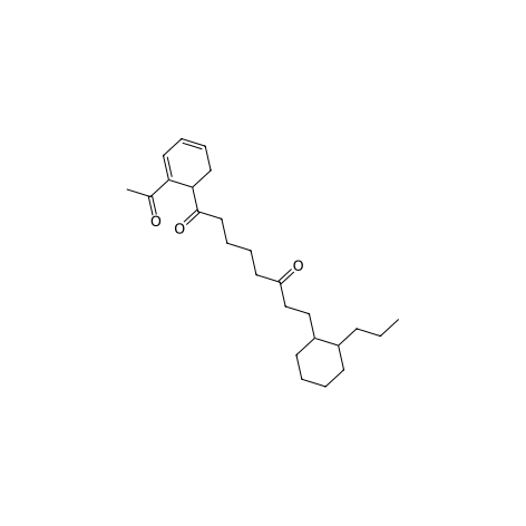 CCCC1CCCCC1CCC(=O)CCCCC(=O)C1CC=CC=C1C(C)=O